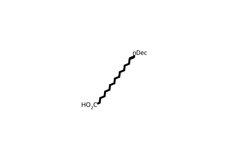 CCCCCCCCCCC=CCCCCCCCCCCCCCC(=O)O